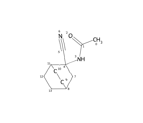 CC(=O)NC1(C#N)CC2CCC1CC2